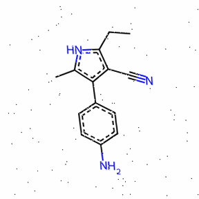 CCc1[nH]c(C)c(-c2ccc(N)cc2)c1C#N